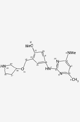 CNc1cc(C)nc(Nc2ccc(OC)c(COC3CCNC3)c2)n1